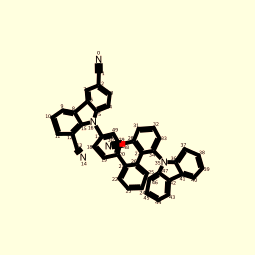 N#Cc1ccc2c(c1)c1cccc(C#N)c1n2-c1ccc(-c2ccccc2-c2c(C#N)cccc2-n2c3ccccc3c3ccccc32)cc1